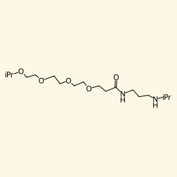 CC(C)NCCCNC(=O)CCOCCOCCOCCOC(C)C